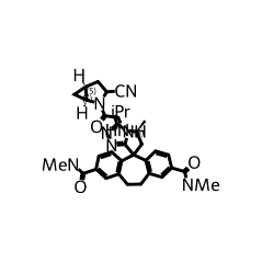 CNC(=O)c1ccc2c(c1)CCc1cc(C(=O)NC)ccc1C2(C[C@H](C)NCC(=O)N1C(C#N)C[C@@H]2C[C@@H]21)c1nnc(C(C)C)[nH]1